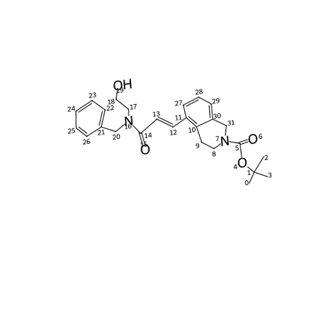 CC(C)(C)OC(=O)N1CCc2c(/C=C/C(=O)N(CCO)Cc3ccccc3)cccc2C1